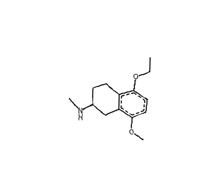 CCOc1ccc(OC)c2c1CCC(NC)C2